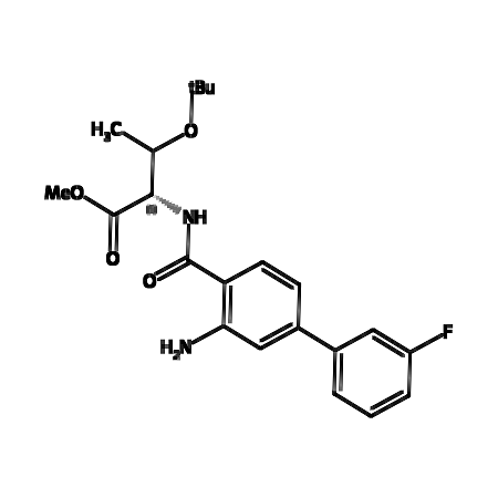 COC(=O)[C@@H](NC(=O)c1ccc(-c2cccc(F)c2)cc1N)C(C)OC(C)(C)C